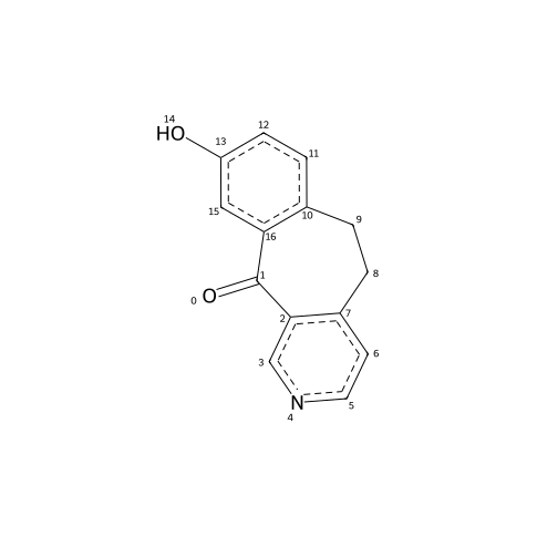 O=C1c2cnccc2CCc2ccc(O)cc21